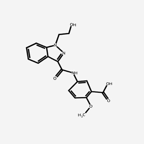 COc1ccc(NC(=O)c2nn(CCO)c3ccccc23)cc1C(=O)O